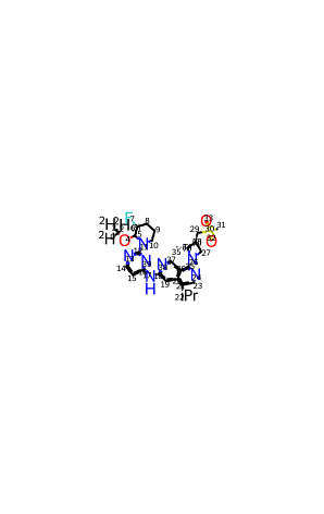 [2H]C([2H])([2H])OC1[C@@H](F)CCCN1c1nccc(Nc2cc3c(C(C)C)cnc(N4C[C@H](CS(C)(=O)=O)[C@H]4C)c3cn2)n1